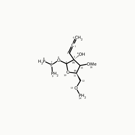 C=C=C[C@]1(O)C(OP(P)P)O[C@H](COP)C1OC